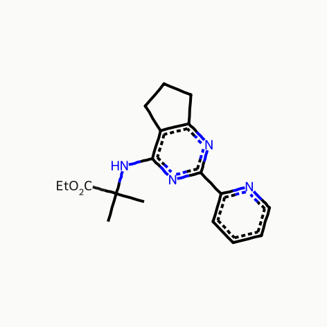 CCOC(=O)C(C)(C)Nc1nc(-c2ccccn2)nc2c1CCC2